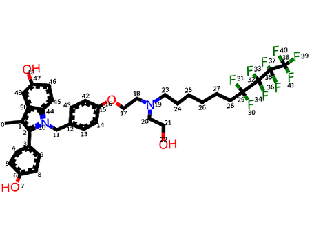 Cc1c(-c2ccc(O)cc2)n(Cc2ccc(OCCN(CCO)CCCCCCC(F)(F)C(F)(F)C(F)(F)C(F)(F)F)cc2)c2ccc(O)cc12